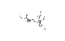 CCO[Si](CC)(CC/N=C(\C)CC)OCC